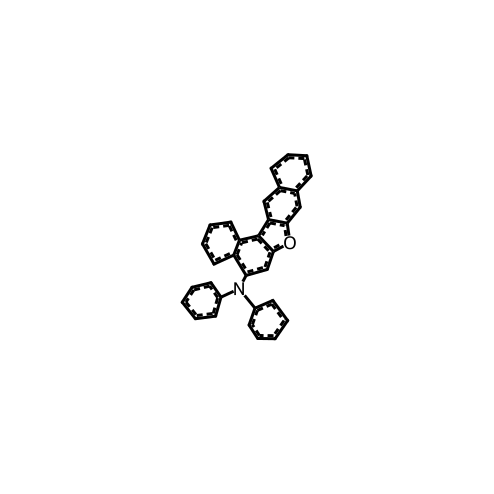 c1ccc(N(c2ccccc2)c2cc3oc4cc5ccccc5cc4c3c3ccccc23)cc1